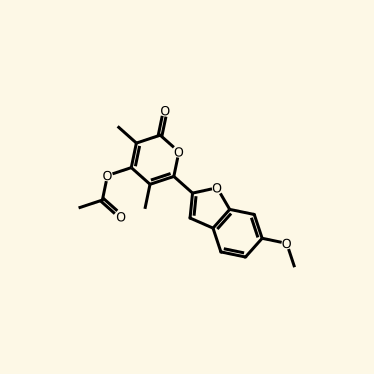 COc1ccc2cc(-c3oc(=O)c(C)c(OC(C)=O)c3C)oc2c1